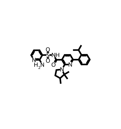 CC(C)c1ccccc1-c1ccc(C(=O)NS(=O)(=O)c2cccnc2N)c(N2CCC(C)C2(C)C)n1